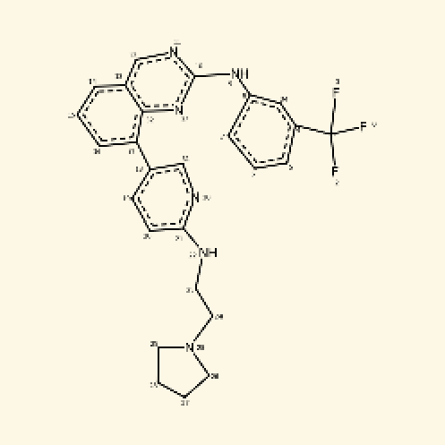 FC(F)(F)c1cccc(Nc2ncc3cccc(-c4ccc(NCCN5CCCC5)nc4)c3n2)c1